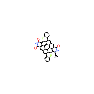 CN1C(=O)c2cc3cc(-c4ccccc4F)c4cc5c(=C6CC6)n(C)c(=O)c6cc7cc(C8CC=CC=C8F)c8cc(c2c2c3c4c(c65)c7c82)C1=O